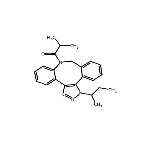 CCC(C)n1nnc2c1-c1ccccc1CN(C(=O)C(C)C)c1ccccc1-2